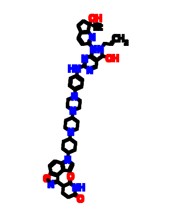 C=CCN1C(O)c2cnc(Nc3ccc(N4CCN(C5CCN(C6CCC(n7ccc8c9c(C%10CCC(=O)NC%10=O)noc9ccc87)CC6)CC5)CC4)cc3)nc2N1c1ccc2c(n1)[C@@](O)(CC)CC2